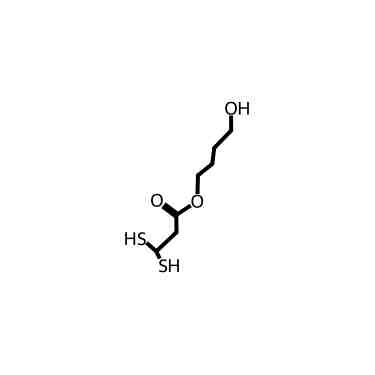 O=C(CC(S)S)OCCCCO